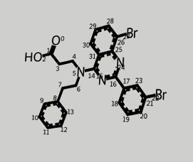 O=C(O)CCN(CCc1ccccc1)c1nc(-c2cccc(Br)c2)nc2c(Br)cccc12